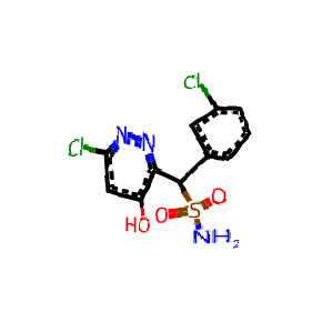 NS(=O)(=O)C(c1cccc(Cl)c1)c1nnc(Cl)cc1O